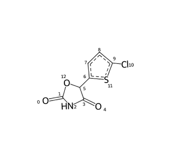 O=C1NC(=O)C(c2ccc(Cl)s2)O1